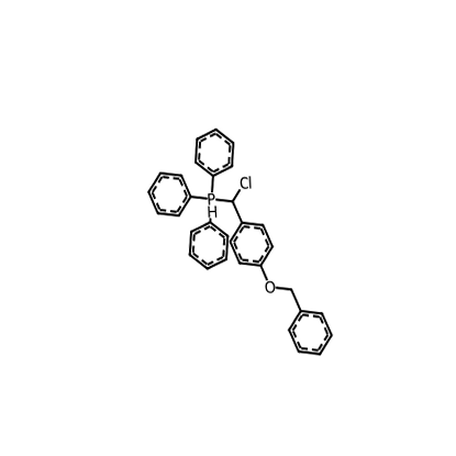 ClC(c1ccc(OCc2ccccc2)cc1)[PH](c1ccccc1)(c1ccccc1)c1ccccc1